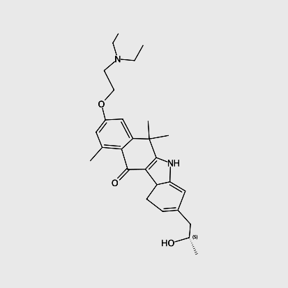 CCN(CC)CCOc1cc(C)c2c(c1)C(C)(C)C1=C(C2=O)C2CC=C(C[C@H](C)O)C=C2N1